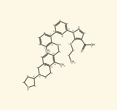 CCCOc1c(C(=O)O)cnn1-c1cccc(-c2cccc(C)c2OCc2ccc3c(c2C)CCN(C2CCOC2)C3)n1